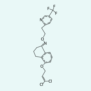 FC(F)(F)c1ccc(CCON=C2CCCc3c(OCC=C(Cl)Cl)cccc32)nc1